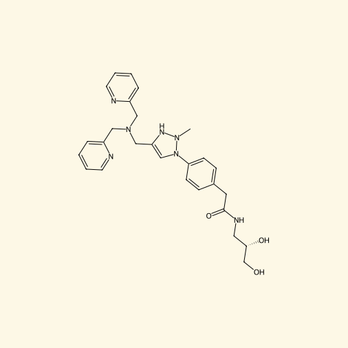 CN1NC(CN(Cc2ccccn2)Cc2ccccn2)=CN1c1ccc(CC(=O)NC[C@H](O)CO)cc1